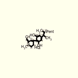 CC=C1C=C(c2c(O)cc(C(C)C(C)CCCCC)cc2O)CCN1C.Cl